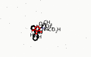 CN(C)C(=O)/C(=N\OCC(=O)O)c1nc2ccccc2n(C2C[C@H]3CCC[C@@H](C2)N3C2C[C@H]3CCC[C@@H](C2)C3)c1=O